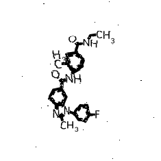 CCNC(=O)c1ccc(NC(=O)c2ccc3nc(C)n(-c4ccc(F)cc4)c3c2)c(C)c1